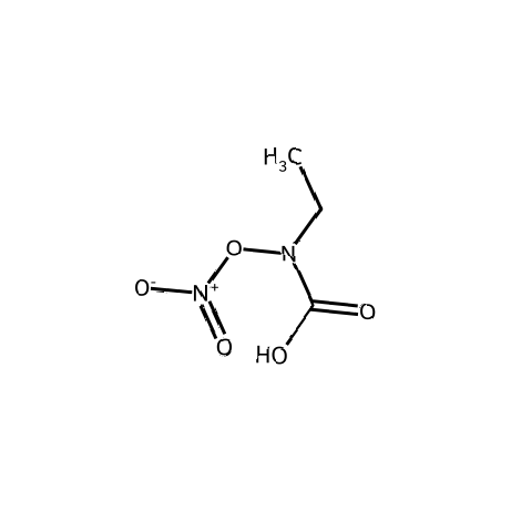 CCN(O[N+](=O)[O-])C(=O)O